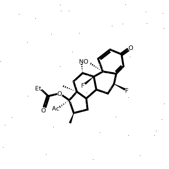 CCC(=O)O[C@]1(C(C)=O)[C@H](C)CC2C3C[C@H](F)C4=CC(=O)C=C[C@]4(C)[C@@]3(F)[C@@H](N=O)C[C@@]21C